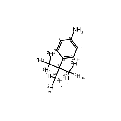 [2H]C([2H])([2H])C(c1ccc(N)cc1)(C([2H])([2H])[2H])C([2H])([2H])[2H]